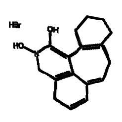 Br.OC1=C2C3=C(CC=C4C=CCC(=C42)CN1O)CCCC3